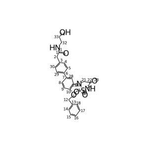 O=C(Cc1ccc(-c2ccc(OCc3ccccc3)c(N3CC(=O)NS3(=O)=O)c2)cc1)NCCO